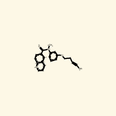 CCCC#CCCOc1cccc(N(C)C(=O)c2ccc3ncccc3c2)c1